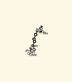 COC(=O)N[C@H](C(=O)N1CCC[C@H]1c1ncc(-c2ccc3cc(-c4ccc(-c5cnc([C@@H]6CC7(CC7)CN6C(=O)OC(C)(C)C)[nH]5)cc4)ccc3c2)[nH]1)C(C)C